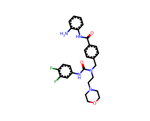 Nc1ccccc1NC(=O)c1ccc(CN(CCN2CCOCC2)C(=O)Nc2ccc(F)c(F)c2)cc1